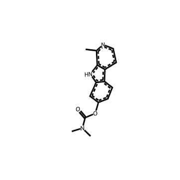 Cc1nccc2c1[nH]c1cc(OC(=O)N(C)C)ccc12